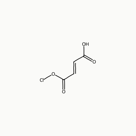 O=C(O)C=CC(=O)OCl